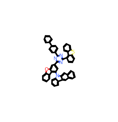 c1ccc(-c2ccc(-c3nc(-c4cc(-n5c6ccccc6c6cc7ccccc7cc65)c5c(c4)oc4ccccc45)nc(-c4cccc5sc6ccccc6c45)n3)cc2)cc1